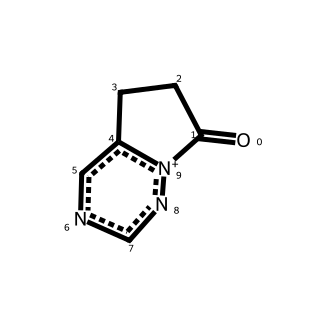 O=C1CCc2cncn[n+]21